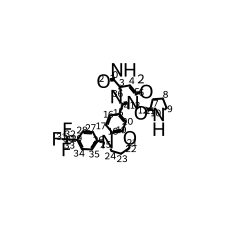 NC(=O)c1cc(OC2CCNC2=O)nc(-c2ccc3c(c2)OCCCN3c2ccc(C(F)(F)F)cc2)n1